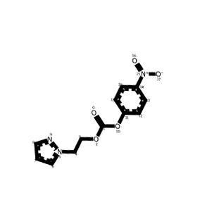 O=C(OCCn1cccn1)Oc1ccc([N+](=O)[O-])cc1